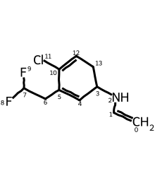 C=CNC1C=C(CC(F)F)C(Cl)=CC1